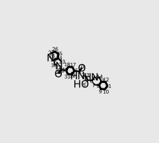 O=C(NC[C@@H](O)[C@@H]1Cc2ccccc2CN1)c1ccc(C(=O)N2Cc3cccnc3C2)cc1